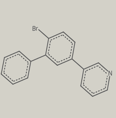 Brc1ccc(-c2cccnc2)cc1-c1ccccc1